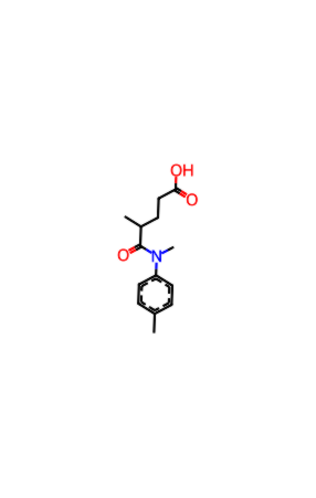 Cc1ccc(N(C)C(=O)C(C)CCC(=O)O)cc1